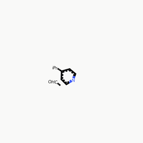 CC(C)c1ccncc1.CC=O